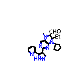 CCC1C(C=O)N(C)c2cnc(-c3cn[nH]c3-c3ccccn3)nc2N1C1CCCC1